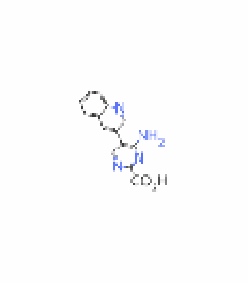 Nc1nc(C(=O)O)ncc1-c1cnc2ccccc2c1